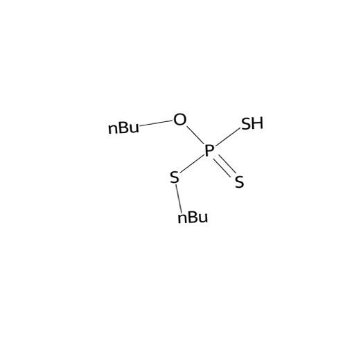 CCCCOP(=S)(S)SCCCC